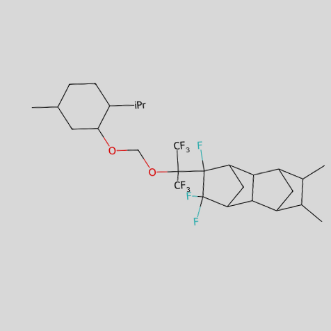 CC1CCC(C(C)C)C(OCOC(C(F)(F)F)(C(F)(F)F)C2(F)C3CC(C4C5CC(C(C)C5C)C43)C2(F)F)C1